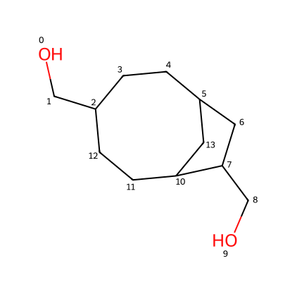 OCC1CCC2CC(CO)C(CC1)C2